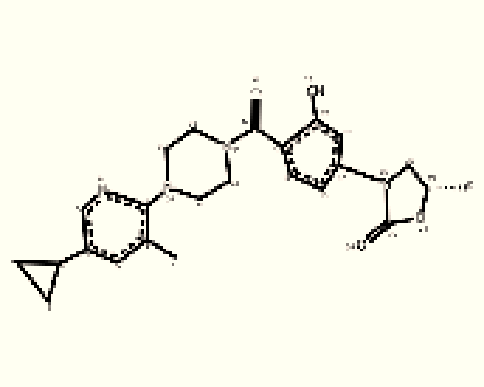 Cc1cc(C2CC2)cnc1N1CCN(C(=O)c2ccc(N3C[C@H](C)OC3=O)cc2C#N)CC1